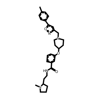 Cc1ccc(-c2cc(CN3CCC(Oc4cccc(C(=O)NCCC5CCCN5C)c4)CC3)no2)cc1